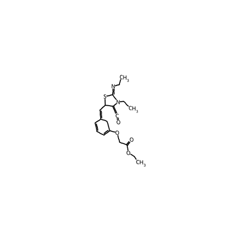 CCN=C1SC(C=C2C=CC=C(OCC(=O)OCC)C2)C(=C=O)N1CC